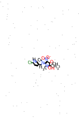 CCN(Cc1ccc(Cl)nc1)C1=C([N+](=O)[O-])C(OC)C(C)(O)N1C